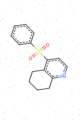 O=S(=O)(c1ccccc1)c1ccnc2c1CCCC2